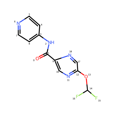 O=C(Nc1ccncc1)c1cnc(OC(F)F)cn1